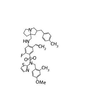 C=Cc1cc(S(=O)(=O)N(Cc2ccc(OC)cc2C)c2nccs2)c(F)cc1NCC12CCCN1CC(Cc1ccc(C)cc1)C2